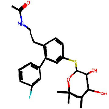 CC(=O)NCCc1ccc(SC2OC(C)(C)C(C)C(O)C2O)cc1-c1cccc(F)c1